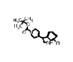 CC(C)(C)OC(=O)N1CC=C(C2CNc3c(Cl)cccc32)CC1